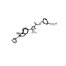 Cn1nc(C(=O)NCc2ccc(C(=O)O)cc2)cc1-c1ccc2[nH]c(-c3cncnc3)cc2c1